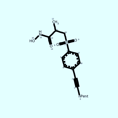 CCCCCC#Cc1ccc(S(=O)(=O)CC(C)C(=O)NO)cc1